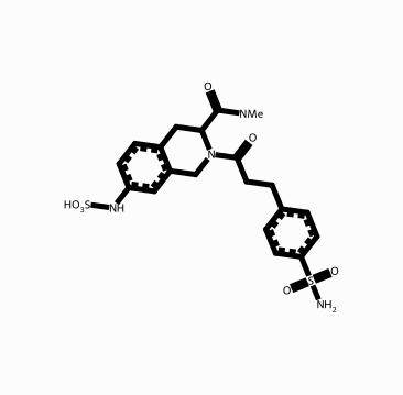 CNC(=O)C1Cc2ccc(NS(=O)(=O)O)cc2CN1C(=O)CCc1ccc(S(N)(=O)=O)cc1